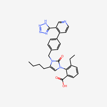 CCCCc1cn(-c2c(CC)cccc2C(=O)O)c(=O)n1Cc1ccc(-c2ccncc2-c2nnn[nH]2)cc1